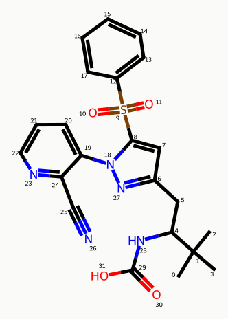 CC(C)(C)C(Cc1cc(S(=O)(=O)c2ccccc2)n(-c2cccnc2C#N)n1)NC(=O)O